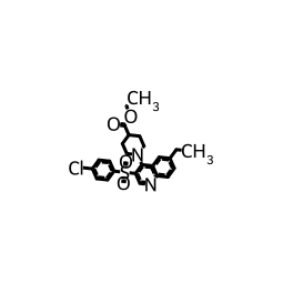 CCOC(=O)C1CCN(c2c(S(=O)(=O)c3ccc(Cl)cc3)cnc3ccc(CC)cc23)CC1